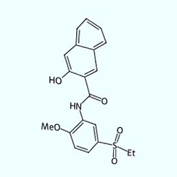 CCS(=O)(=O)c1ccc(OC)c(NC(=O)c2cc3ccccc3cc2O)c1